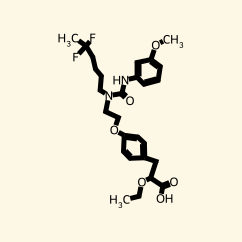 CCOC(Cc1ccc(OCCN(CCCCC(C)(F)F)C(=O)Nc2cccc(OC)c2)cc1)C(=O)O